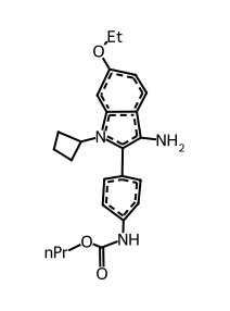 CCCOC(=O)Nc1ccc(-c2c(N)c3ccc(OCC)cc3n2C2CCC2)cc1